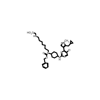 Cn1ncc(-c2nc(NC3CCC(N(CCCCCCCNCC(=O)O)C(=O)OCc4ccccc4)CC3)ncc2Cl)c1CC1CC1